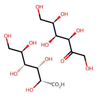 O=C(CO)[C@H](O)[C@@H](O)[C@H](O)CO.O=C(O)[C@H](O)[C@@H](O)[C@H](O)[C@H](O)CO